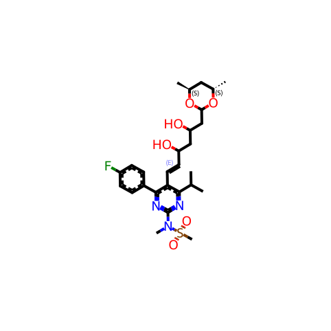 CC(C)c1nc(N(C)S(C)(=O)=O)nc(-c2ccc(F)cc2)c1/C=C/C(O)CC(O)CC1O[C@@H](C)C[C@H](C)O1